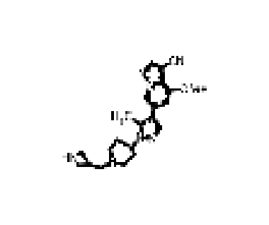 COc1cc(-c2cnn(C3CCN(CC4CNC4)CC3)c2C)cn2ncc(C#N)c12